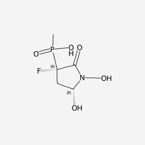 CP(=O)(O)[C@]1(F)C[C@@H](O)N(O)C1=O